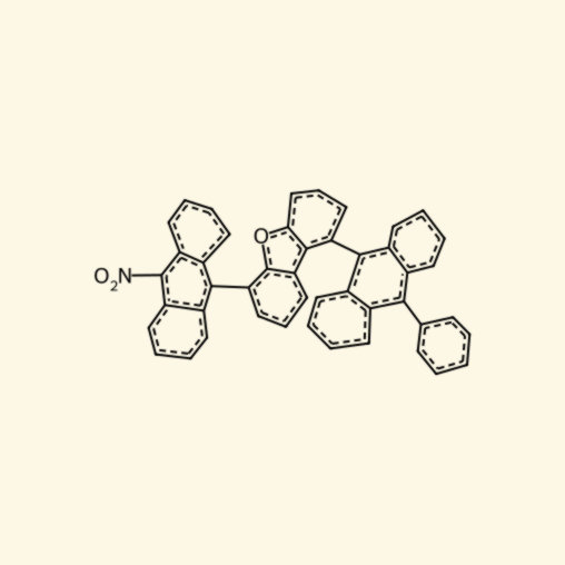 O=[N+]([O-])c1c2ccccc2c(-c2cccc3c2oc2cccc(-c4c5ccccc5c(-c5ccccc5)c5ccccc45)c23)c2ccccc12